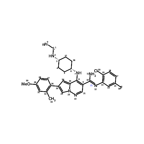 CCCSN[C@H]1CC[C@@H](Nc2c(/C(N)=N/c3cc(F)ccc3Cl)cnn3cc(-c4ccc(OC)cc4C)cc23)CC1